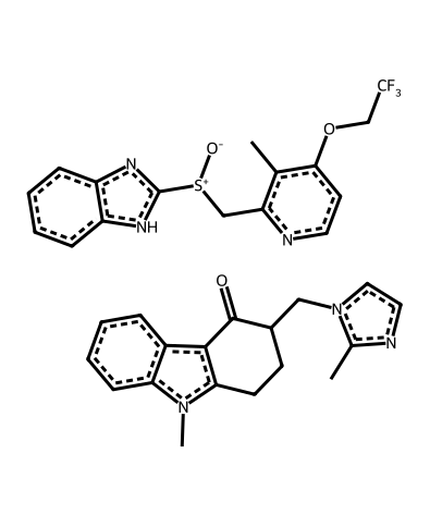 Cc1c(OCC(F)(F)F)ccnc1C[S+]([O-])c1nc2ccccc2[nH]1.Cc1nccn1CC1CCc2c(c3ccccc3n2C)C1=O